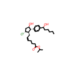 CCCCC[C@H](O)c1ccc([C@@H]2[C@@H](C/C=C\CCCC(=O)OC(C)C)[C@H](Cl)C[C@H]2O)cc1